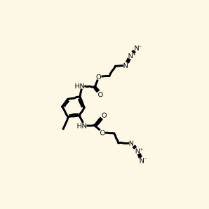 Cc1ccc(NC(=O)OCCN=[N+]=[N-])cc1NC(=O)OCCN=[N+]=[N-]